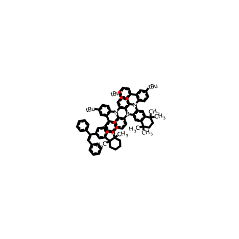 CC(C)(C)c1ccc(N2c3cc(N4c5ccc(/C(=C\c6ccccc6)c6ccccc6)cc5C5(C)CCCCC45C)ccc3B3c4cc5c(cc4N(c4ccc(C(C)(C)C)cc4-c4ccccc4)c4cc(C(C)(C)C)cc2c43)C(C)(C)CCC5(C)C)c(-c2ccccc2)c1